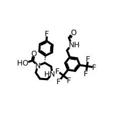 O=C(O)N1CCCNC[C@H]1c1ccc(F)cc1.O=CNCc1cc(C(F)(F)F)cc(C(F)(F)F)c1